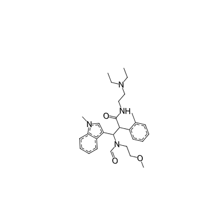 CCN(CC)CCNC(=O)C(c1ccccc1C)C(c1cn(C)c2ccccc12)N(C=O)CCOC